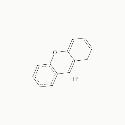 C1=CCC2=Cc3ccccc3OC2=C1.[H+]